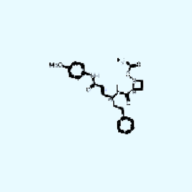 COc1ccc(NC(=O)/C=C/[C@H](CCc2ccccc2)NC(=O)[C@@H]2CCN2OC(=O)C(F)(F)F)cc1